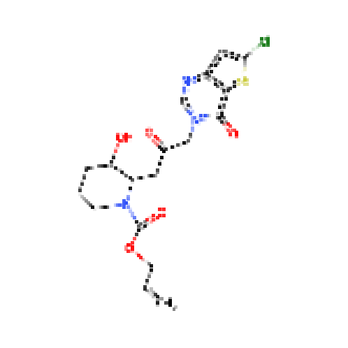 C=CCOC(=O)N1CCCC(O)C1CC(=O)Cn1cnc2cc(Cl)sc2c1=O